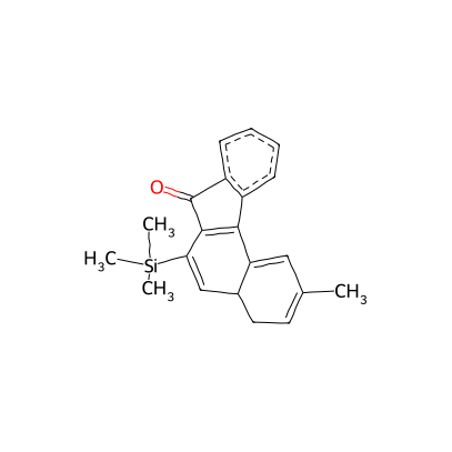 CC1=CCC2C=C([Si](C)(C)C)C3=C(C2=C1)c1ccccc1C3=O